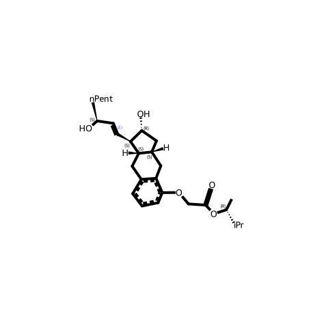 CCCCC[C@H](O)/C=C/[C@@H]1[C@H]2Cc3cccc(OCC(=O)O[C@H](C)C(C)C)c3C[C@H]2C[C@H]1O